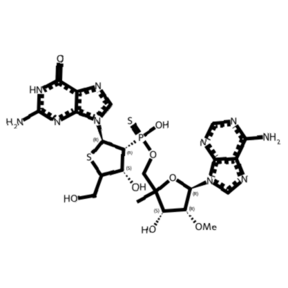 CO[C@H]1[C@H](n2cnc3c(N)ncnc32)OC(C)(COP(O)(=S)[C@@H]2[C@H](O)C(CO)S[C@H]2n2cnc3c(=O)[nH]c(N)nc32)[C@H]1O